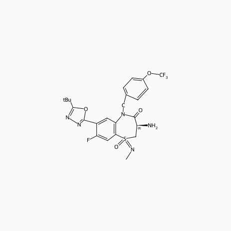 CN=S1(=O)C[C@H](N)C(=O)N(Cc2ccc(OC(F)(F)F)cc2)c2cc(-c3nnc(C(C)(C)C)o3)c(F)cc21